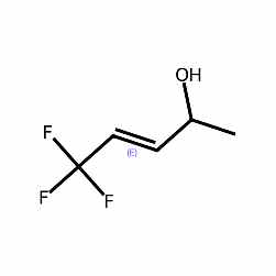 CC(O)/C=C/C(F)(F)F